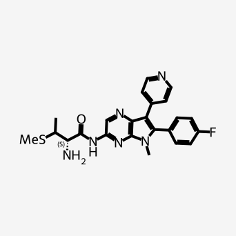 CSC(C)[C@@H](N)C(=O)Nc1cnc2c(-c3ccncc3)c(-c3ccc(F)cc3)n(C)c2n1